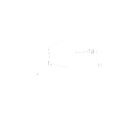 [2H]NC1CCN(C(C)(C)C)C1